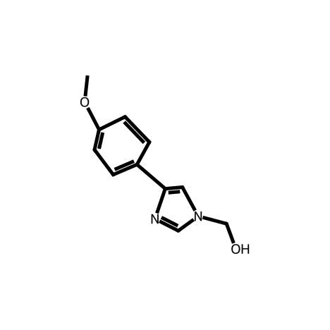 COc1ccc(-c2cn(CO)cn2)cc1